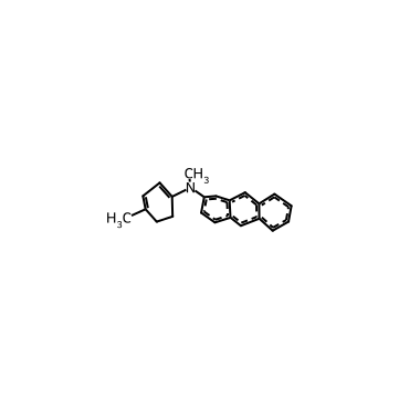 CC1=CC=C(N(C)c2ccc3cc4ccccc4cc3c2)CC1